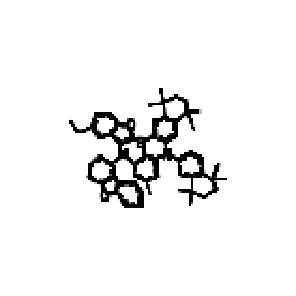 CCc1ccc2oc3c(c2c1)N(c1cccc2oc4ccccc4c12)c1cc(C)cc2c1B3c1cc3c(cc1N2c1ccc2c(c1)C(C)(C)CCC2(C)C)C(C)(C)CCC3(C)C